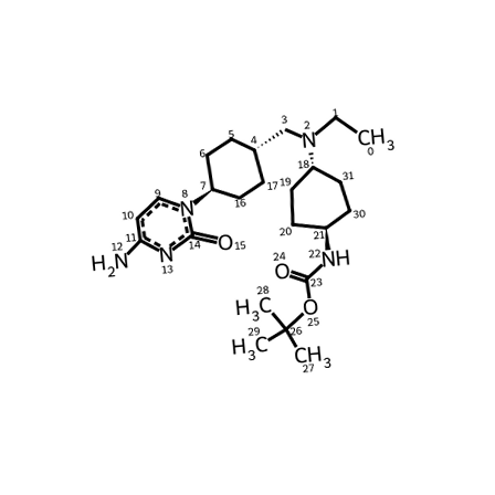 CCN(C[C@H]1CC[C@H](n2ccc(N)nc2=O)CC1)[C@H]1CC[C@H](NC(=O)OC(C)(C)C)CC1